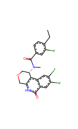 CCc1ccc(C(=O)N(C)[C@H]2COCc3[nH]c(=O)c4cc(F)c(F)cc4c32)cc1F